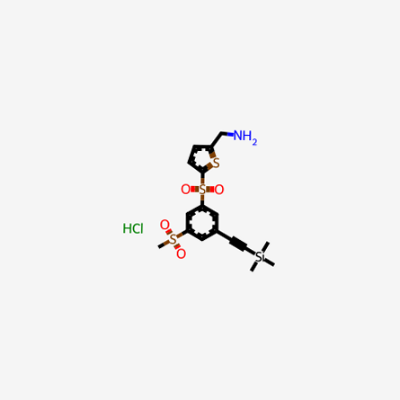 C[Si](C)(C)C#Cc1cc(S(C)(=O)=O)cc(S(=O)(=O)c2ccc(CN)s2)c1.Cl